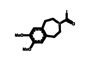 COc1cc2c(cc1OC)CCN(C(=O)I)CC2